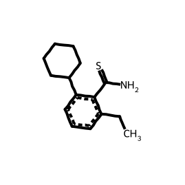 CCc1cccc(C2CCCCC2)c1C(N)=S